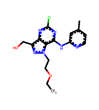 Cc1ccnc(Nc2nc(Cl)nc3c(CO)nn(CCOCC(F)(F)F)c23)c1